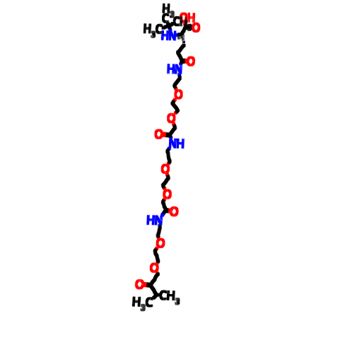 CC(C)C(=O)COCCOCCNC(=O)COCCOCCNC(=O)COCCOCCNC(=O)CC[C@H](NC(C)(C)C)C(=O)O